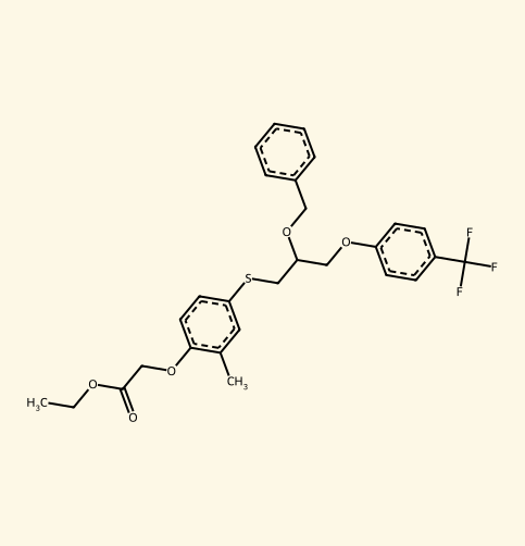 CCOC(=O)COc1ccc(SCC(COc2ccc(C(F)(F)F)cc2)OCc2ccccc2)cc1C